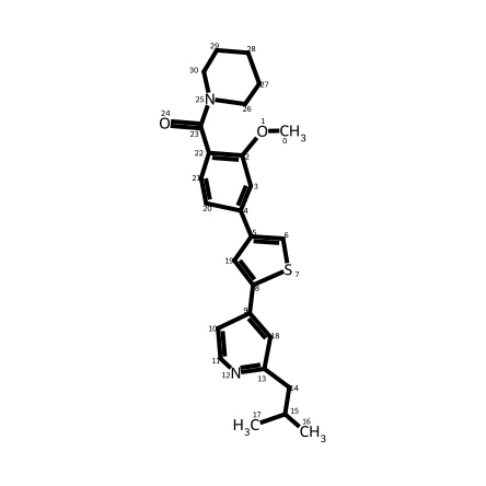 COc1cc(-c2csc(-c3ccnc(CC(C)C)c3)c2)ccc1C(=O)N1CCCCC1